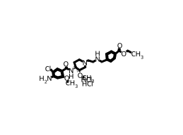 CCOC(=O)c1ccc(CNCCN2CC[C@@H](NC(=O)c3cc(Cl)c(N)cc3OC)[C@@H](OC)C2)cc1.Cl.Cl